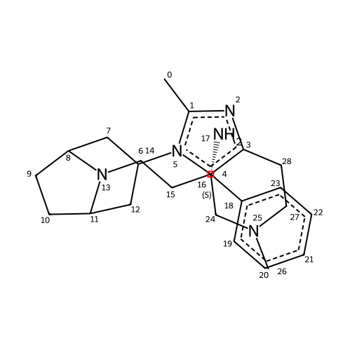 Cc1nc2c(n1C1CC3CCC(C1)N3CC[C@H](N)c1ccccc1)CN(C)CC2